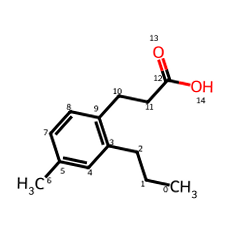 CCCc1cc(C)ccc1CCC(=O)O